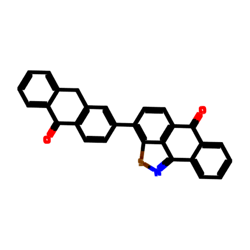 O=C1c2ccccc2Cc2cc(-c3ccc4c5c(nsc35)-c3ccccc3C4=O)ccc21